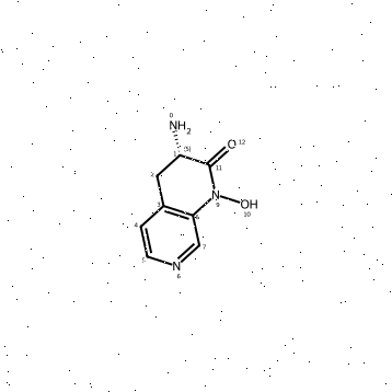 N[C@H]1Cc2ccncc2N(O)C1=O